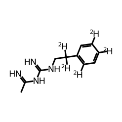 [2H]c1cc([2H])c(C([2H])([2H])CNC(=N)NC(C)=N)cc1[2H]